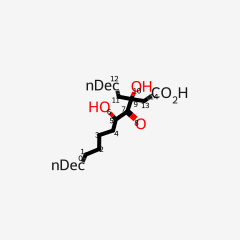 CCCCCCCCCCCCCCC(O)C(=O)C(O)(CCCCCCCCCCC)CC(=O)O